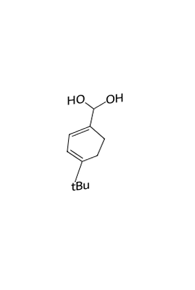 CC(C)(C)C1=CC=C(C(O)O)CC1